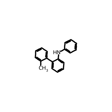 Cc1ccccc1-c1ccccc1Nc1ccccc1